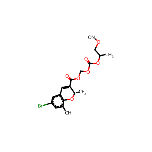 Cc1cc(Br)cc2c1O[C@H](C(F)(F)F)C(C(=O)OCOC(=O)OC(C)CON=O)=C2